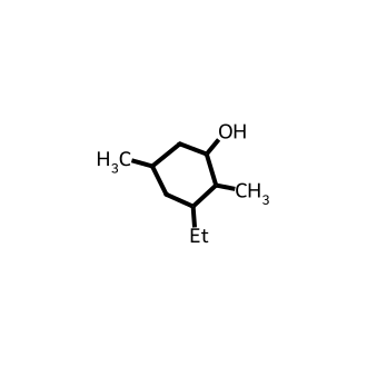 CCC1CC(C)CC(O)C1C